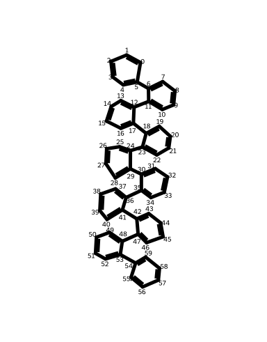 [c]1ccccc1-c1ccccc1-c1ccccc1-c1ccccc1-c1ccccc1-c1ccccc1-c1ccccc1-c1ccccc1-c1ccccc1-c1[c]cccc1